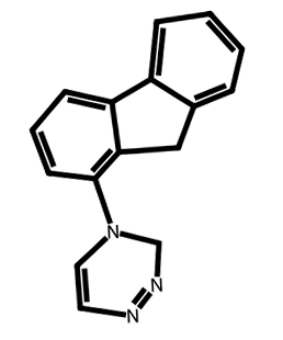 C1=CN(c2cccc3c2Cc2ccccc2-3)CN=N1